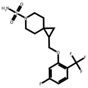 NS(=O)(=O)N1CCC2(CC1)CC2COc1cc(F)ccc1C(F)(F)F